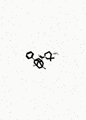 CC1(C)CN(C(=S)[C@@]23C[C@H]4C[C@@](C)(C2)C[C@](c2ccccc2)(C4)C3)CC[C@@H]1N